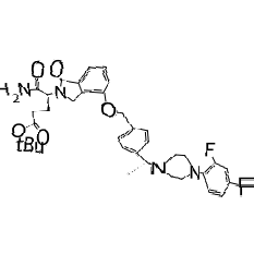 C[C@H](c1ccc(COc2cccc3c2CN([C@@H](CCC(=O)OC(C)(C)C)C(N)=O)C3=O)cc1)N1CCN(c2ccc(F)cc2F)CC1